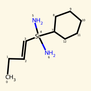 CCC=C[Si](N)(N)C1CCCCC1